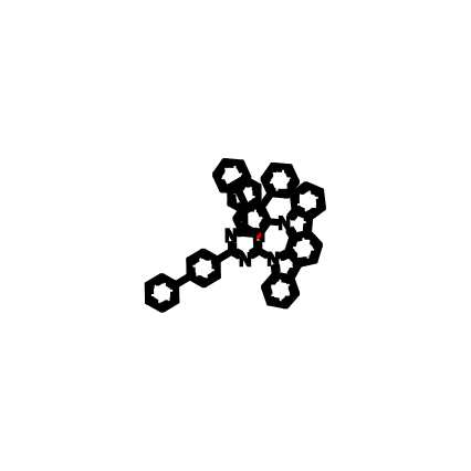 c1ccc(-c2ccc(-c3nc(-c4ccccc4)nc(-n4c5ccccc5c5ccc6c7ccccc7n(-c7cccc(-c8ccccc8)c7-c7ccccc7)c6c54)n3)cc2)cc1